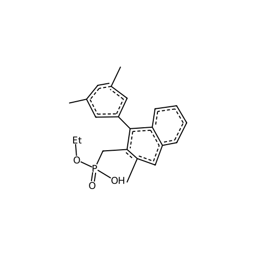 CCOP(=O)(O)Cc1c(C)cc2ccccc2c1-c1cc(C)cc(C)c1